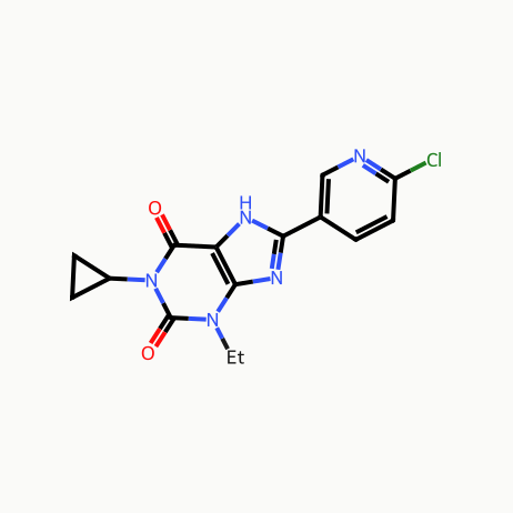 CCn1c(=O)n(C2CC2)c(=O)c2[nH]c(-c3ccc(Cl)nc3)nc21